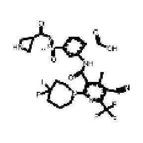 Cc1c(C#N)c(C(F)(F)F)nc(N2CCCC(F)(F)CC2)c1C(=O)Nc1cccc([S@@](C)(=O)=NC(=O)C2CNC2)c1.O=CO